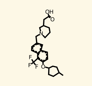 CC1CCC(Oc2ccc3cc(CN4CCCC(CC(=O)O)C4)ccc3c2C(F)(F)F)CC1